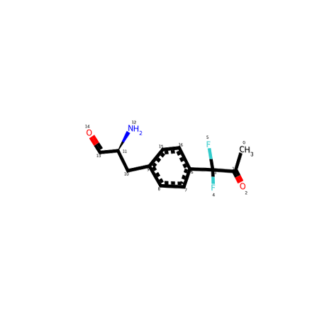 CC(=O)C(F)(F)c1ccc(C[C@H](N)C=O)cc1